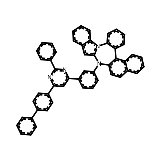 c1ccc(-c2ccc(-c3cc(-c4cccc(N5c6ccc7ccccc7c6-c6ccccc6-n6c5cc5ccccc56)c4)nc(-c4ccccc4)n3)cc2)cc1